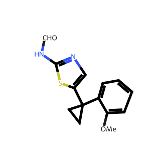 COc1ccccc1C1(c2cnc(NC=O)s2)CC1